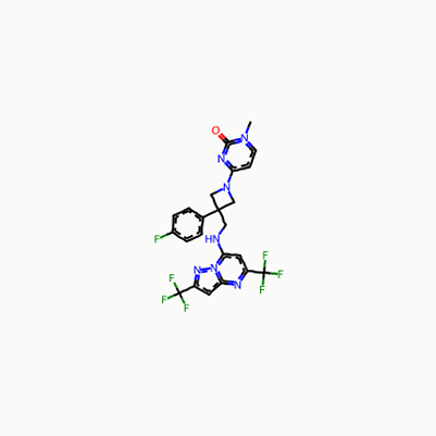 Cn1ccc(N2CC(CNc3cc(C(F)(F)F)nc4cc(C(F)(F)F)nn34)(c3ccc(F)cc3)C2)nc1=O